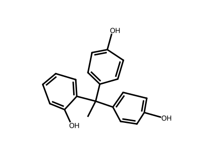 CC(c1ccc(O)cc1)(c1ccc(O)cc1)c1ccccc1O